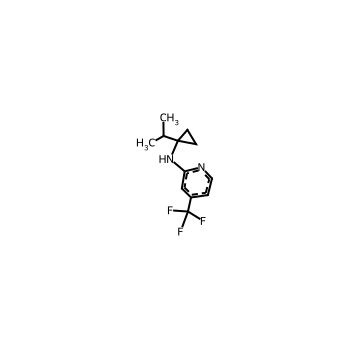 CC(C)C1(Nc2cc(C(F)(F)F)ccn2)CC1